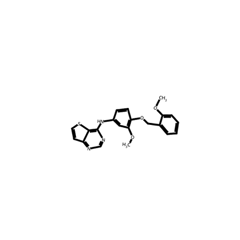 COc1ccccc1COc1ccc(Nc2ncnc3ccsc23)cc1OC